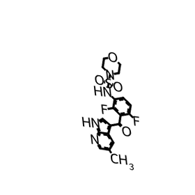 Cc1cnc2[nH]cc(C(=O)c3c(F)ccc(NS(=O)(=O)N4CCOCC4)c3F)c2c1